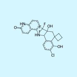 O=c1ccc2c(NC3c4ccc(Cl)c(O)c4C4(CCC4)CC3(O)C(F)(F)F)cccc2[nH]1